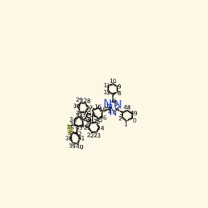 c1ccc(-c2nc(-c3ccccc3)nc(-c3ccc([Si](c4ccccc4)(c4ccccc4)c4ccc5sc6ccccc6c5c4)cc3)n2)cc1